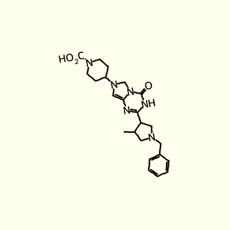 CC1CN(Cc2ccccc2)CC1C1=NC2=CN(C3CCN(C(=O)O)CC3)CN2C(=O)N1